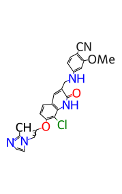 COc1cc(NCc2cc3ccc(OCCn4ccnc4C)c(Cl)c3[nH]c2=O)ccc1C#N